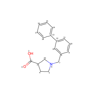 O=C(O)C1CCN(Cc2cccc(-c3ccccc3)c2)C1